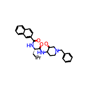 CC(C)C[C@H](NC(=O)c1ccc2ccccc2c1)C(=O)NC1CCN(Cc2ccccc2)CC1=O